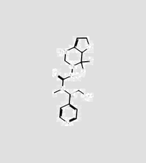 CN(C(=O)NN1CNC2=CCOC2C1(F)F)[C@@H](CO)c1ccncc1